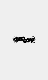 Cn1c(S(C)(=O)=O)cc2cc3c(ccc4c5cc6cc(S(C)(=O)=O)n(C)c6cc5ccc34)cc21